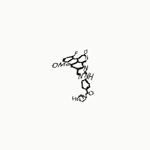 COc1cccc(F)c1C1=CC(Cl)=NC=C2C1=CCc1cnc(Nc3ccc(C(=O)N4CCNCC4)cc3)nc12